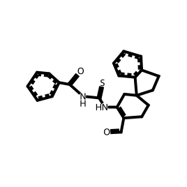 O=CC1=C(NC(=S)NC(=O)c2ccccc2)CC2(CC1)CCc1ccccc12